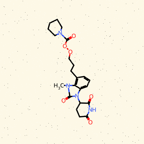 Cn1c(=O)n(C2CCC(=O)NC2=O)c2cccc(CCCOOC(=O)N3CCCCC3)c21